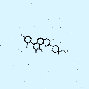 C[C@@H](Oc1ccc2c(-c3ccc(F)cc3Cl)c[nH]c(=O)c2c1)C(=O)N1CCC(C)(C(=O)O)CC1